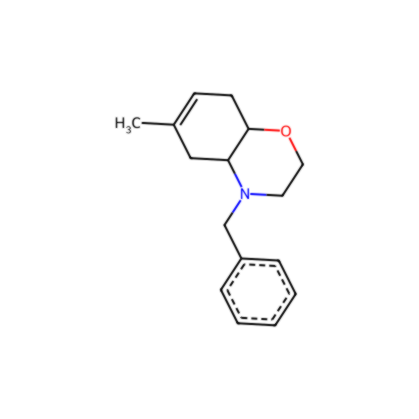 CC1=CCC2OCCN(Cc3ccccc3)C2C1